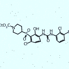 CCOC(=O)N1CCC(S(=O)(=O)c2c(Cl)ccc(NC(=O)Nc3cccc(F)c3Cl)c2O)CC1